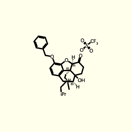 CC(C)C[N+]1(C)CC[C@]23c4c5ccc(OCc6ccccc6)c4O[C@H]2C(=O)CCC3(O)[C@H]1C5.O=S(=O)([O-])C(F)(F)F